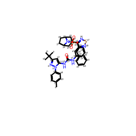 Cc1ccc(-n2nc(C(C)(C)C)cc2NC(=O)Nc2cccc(CC3CC4CCC(C3)N4S(=O)(=O)c3nsnc3Cc3ccccc3)c2)cc1